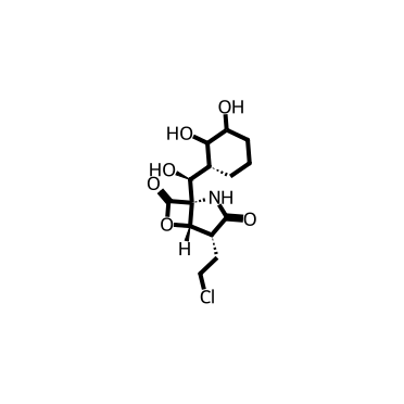 O=C1N[C@@]2([C@@H](O)[C@H]3CCCC(O)C3O)C(=O)O[C@H]2[C@H]1CCCl